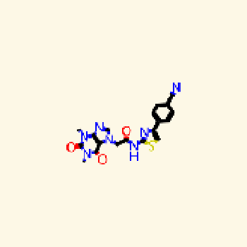 Cn1c(=O)c2c(ncn2CC(=O)Nc2nc(-c3ccc(C#N)cc3)cs2)n(C)c1=O